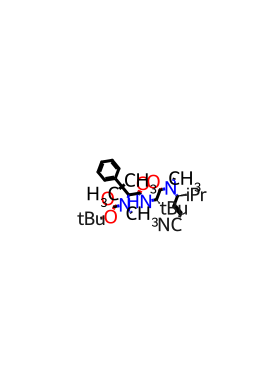 CC(C)[C@@H](/C=C/C#N)N(C)C(=O)[C@@H](NC(=O)[C@@H](N(C)C(=O)OC(C)(C)C)C(C)(C)c1ccccc1)C(C)(C)C